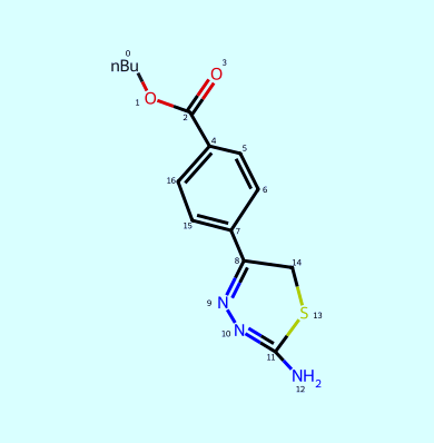 CCCCOC(=O)c1ccc(C2=NN=C(N)SC2)cc1